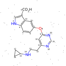 O=C(O)c1c[nH]c2ccc(Oc3cc(CCNC4CC4)ncn3)cc12